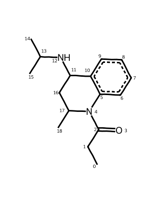 CCC(=O)N1c2ccccc2C(NC(C)C)CC1C